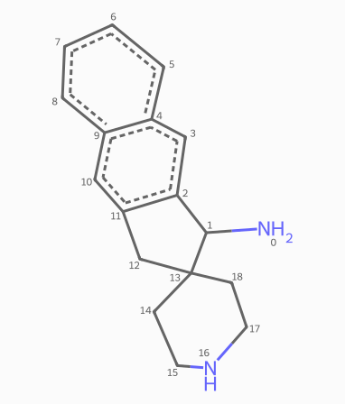 NC1c2cc3ccccc3cc2CC12CCNCC2